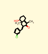 CC1=C2CCC[C@H](O)[C@@]2(C)CC(=Cc2cccc(Cl)c2)C1=O